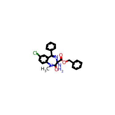 CN1C(=O)C(N)(C(=O)OCc2ccccc2)N=C(c2ccccc2)c2cc(Cl)ccc21